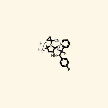 CC1(C)C[C@H](N[C@@H](c2ccc(F)cc2)C(F)(F)c2ccccn2)C(=O)N1C1(C#N)CC1